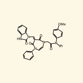 COc1ccc(N(C(=O)CN2C=CN(c3ccccc3)C(=O)C(=Cn3c(=O)[nH]c4ccccc43)C2=O)C(C)C)cc1